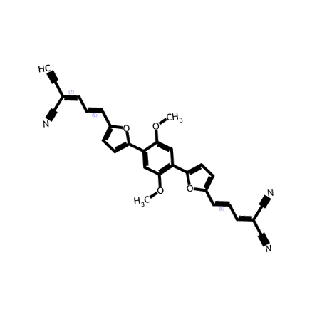 C#C/C(C#N)=C/C=C/c1ccc(-c2cc(OC)c(-c3ccc(/C=C/C=C(C#N)C#N)o3)cc2OC)o1